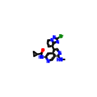 CNc1ncc(-c2cccn3nc(Br)nc23)c2cc(NC(=O)C3CC3)ncc12